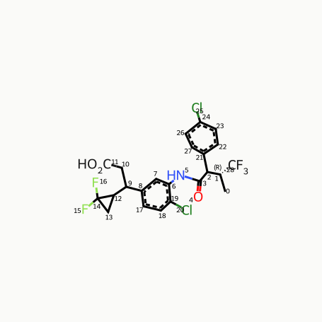 C[C@H](C(C(=O)Nc1cc(C(CC(=O)O)C2CC2(F)F)ccc1Cl)c1ccc(Cl)cc1)C(F)(F)F